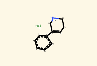 C1=C(c2ccccc2)CNCC1.Cl